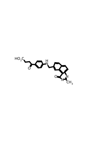 CC1=Nc2ccc3ccc(CNc4ccc(C(=O)CCC(=O)O)cc4)cc3c2C(=O)[N]1